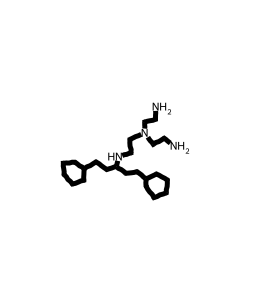 NCCN(CCN)CCNC(CCC1CCCCC1)CCC1CCCCC1